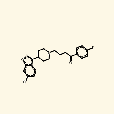 O=C(CCCN1CCC(c2noc3cc(Cl)ccc23)CC1)c1ccc(F)cc1